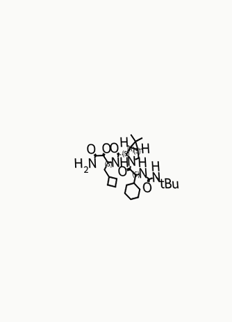 CC(C)(C)NC(=O)N[C@H](C(=O)N1C[C@H]2[C@@H]([C@H]1C(=O)N[C@@H](CC1CCC1)C(=O)C(N)=O)C2(C)C)C1CCCCC1